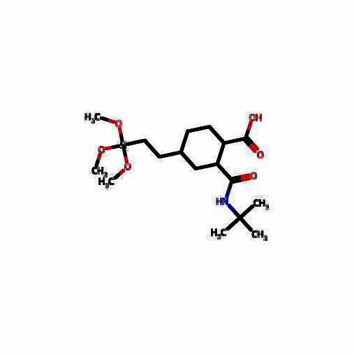 CO[Si](CCC1CCC(C(=O)O)C(C(=O)NC(C)(C)C)C1)(OC)OC